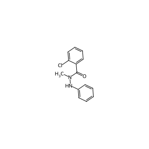 CN(Nc1ccccc1)C(=O)c1ccccc1Cl